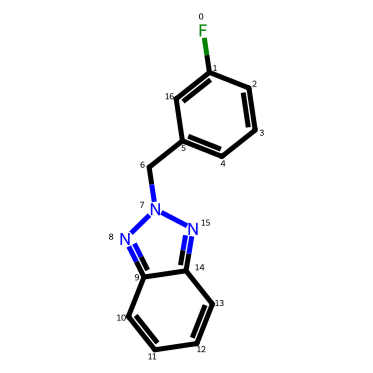 Fc1cccc(Cn2nc3ccccc3n2)c1